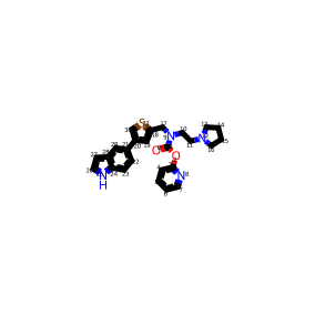 O=C(Oc1ccccn1)N(CCN1CCCC1)Cc1cc(-c2ccc3[nH]ccc3c2)cs1